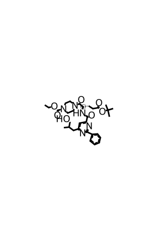 CCOC(=O)N1CCN(C(=O)[C@H](CCC(=O)OC(C)(C)C)NC(=O)c2cc(CC(C)CO)nc(-c3ccccc3)n2)CC1